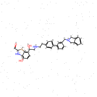 O=CC1Nc2c(O)ccc([C@@H](O)CNCCc3ccc(-c4cccc(CN5Cc6ccccc6C5)c4)cc3)c2S1